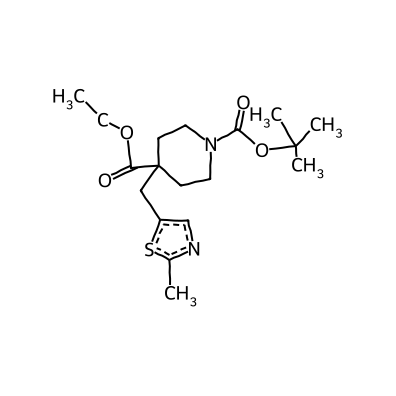 CCOC(=O)C1(Cc2cnc(C)s2)CCN(C(=O)OC(C)(C)C)CC1